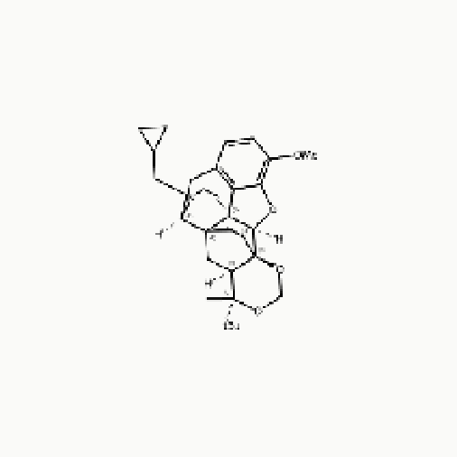 COc1ccc2c3c1O[C@H]1[C@@]45CC[C@@]6(C[C@@H]4[C@@](C)(C(C)(C)C)OCO5)[C@@H](C2)N(CC2CC2)CC[C@]316